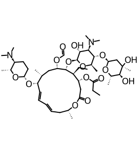 CCC(=O)O[C@@H]1CC(=O)O[C@H](C)C/C=C/C=C/[C@H](O[C@H]2CC[C@H](N(C)C)[C@@H](C)O2)[C@H](C)C[C@H](OC=O)[C@H](O[C@@H]2O[C@H](C)[C@@H](O[C@H]3C[C@@](C)(O)[C@@H](O)[C@H](C)O3)[C@H](N(C)C)[C@H]2O)[C@H]1CC